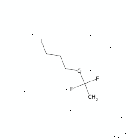 CC(F)(F)OCCCI